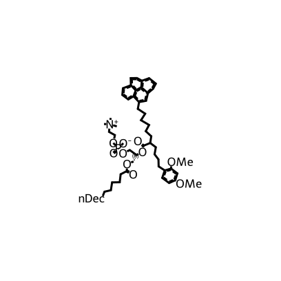 CCCCCCCCCCCCCCCC(=O)OC[C@H](COP(=O)([O-])OCC[N+](C)(C)C)OC(=O)C(CCCCCCc1cc2cccc3ccc4cccc1c4c32)CCCCc1ccc(OC)cc1OC